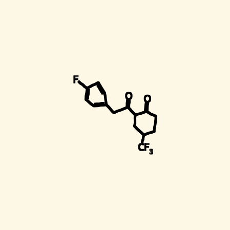 O=C1CCC(C(F)(F)F)CC1C(=O)Cc1ccc(F)cc1